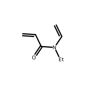 C=CC(=O)N(C=C)CC